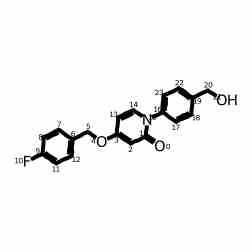 O=c1cc(OCc2ccc(F)cc2)ccn1-c1ccc(CO)cc1